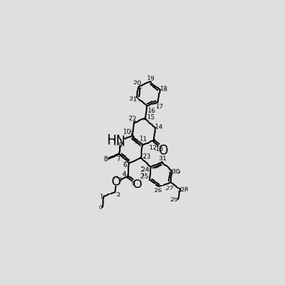 CCCOC(=O)C1=C(C)NC2=C(C(=O)CC(c3ccccc3)C2)C1c1ccc(CC)cc1